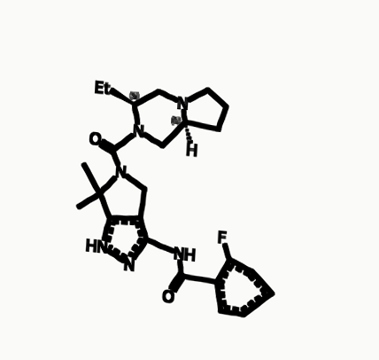 CC[C@H]1CN2CCC[C@H]2CN1C(=O)N1Cc2c(NC(=O)c3ccccc3F)n[nH]c2C1(C)C